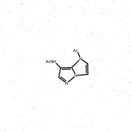 CC(=O)Nc1cnn2ccn(C(C)=O)c12